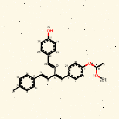 CCOC(C)Oc1ccc(C=C(C=Cc2ccc(C)cc2)C=Cc2ccc(O)cc2)cc1